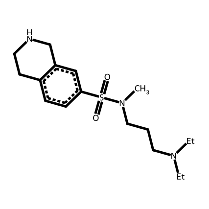 CCN(CC)CCCN(C)S(=O)(=O)c1ccc2c(c1)CNCC2